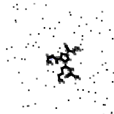 CCCCC(NC(C)=O)[C@H]1C[C@@H](C(=O)OC)C[C@@H]1N/C=N\N